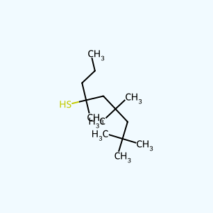 CCCC(C)(S)CC(C)(C)CC(C)(C)C